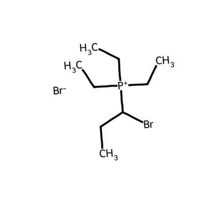 CCC(Br)[P+](CC)(CC)CC.[Br-]